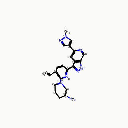 C=Cc1ccc(-c2n[nH]c3cnc(-c4cnn(C)c4)cc23)nc1N1CCC[C@H](N)C1